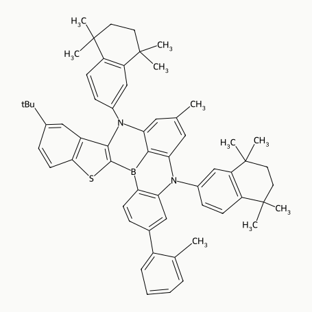 Cc1cc2c3c(c1)N(c1ccc4c(c1)C(C)(C)CCC4(C)C)c1c(sc4ccc(C(C)(C)C)cc14)B3c1ccc(-c3ccccc3C)cc1N2c1ccc2c(c1)C(C)(C)CCC2(C)C